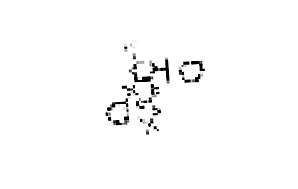 COc1cc(C(C)(C)c2ccccc2)c(OC(=O)OC(C)(C)C)c(C(C)(C)c2ccccc2)c1